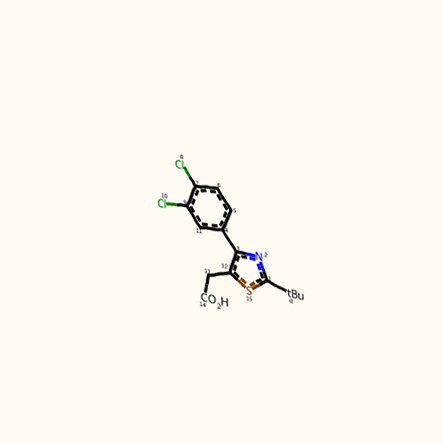 CC(C)(C)c1nc(-c2ccc(Cl)c(Cl)c2)c(CC(=O)O)s1